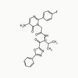 CC(C)[C@H](NC(=O)Cn1c(-c2ccc(F)cc2)ncc(N)c1=O)C(=O)c1nnc(-c2ccccc2)o1